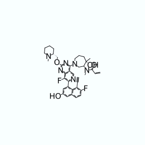 C#Cc1c(F)ccc2cc(O)cc(-c3ncc4c(N5CCCC(C)(O)C(N(C)C(=O)C=C)C5)nc(OC[C@H]5CCCCN5C)nc4c3F)c12